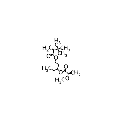 C=C(OC)C(=O)OC(CC)CCOC(=O)C(=C)C(C)(C)C